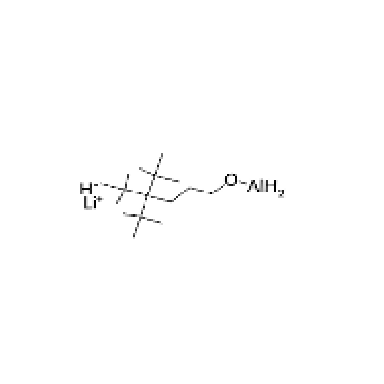 CC(C)(C)C(CCC[O][AlH2])(C(C)(C)C)C(C)(C)C.[H-].[Li+]